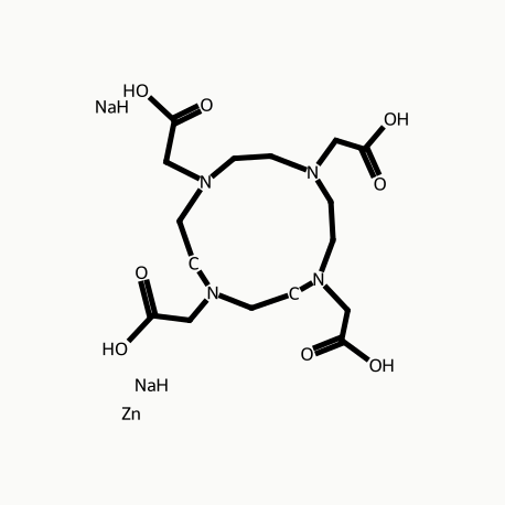 O=C(O)CN1CCN(CC(=O)O)CCN(CC(=O)O)CCN(CC(=O)O)CC1.[NaH].[NaH].[Zn]